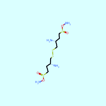 NOS(=O)CC[C@@H](N)CSSC[C@H](N)CCS(=O)ON